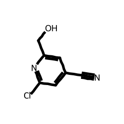 N#Cc1cc(Cl)nc(CO)c1